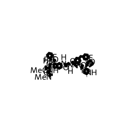 CNC(C)C(=O)NC(C(=O)N1Cc2ccc(NC(=O)CNC(=O)[C@]3(C)CN(C(=O)CN4C[C@@H](C)NC[C@@H]4CN4CCOC[C@H]4C)c4cc(Cc5ccc(F)cc5)ccc43)cc2[C@H]1C(=O)Nc1c(F)cccc1F)C(C)OC